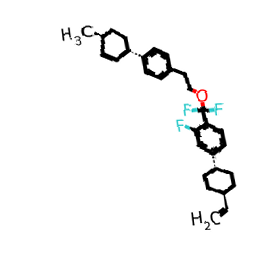 C=C[C@H]1CC[C@H](c2ccc(C(F)(F)OCCc3ccc([C@H]4CC[C@H](C)CC4)cc3)c(F)c2)CC1